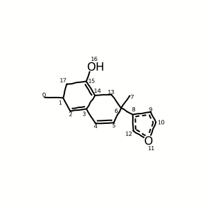 CC1C=C2C=CC(C)(c3ccoc3)CC2=C(O)C1